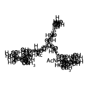 CC(=O)NC1C(OCCCNC(=O)COc2cc(C(=O)NCCNC(=O)CCCC[C@@H]3SC[C@@H]4NC(=O)N[C@@H]43)cc(-c3ccc(OCC(=O)NCCCOC4OC(CO)C(OC(OC(CO)[C@@H](C)O)[C@@H](O)COC(OC(CO)[C@@H](C)O)[C@@H](O)CO)C(O)C4NC(C)=O)cc3)c2)OC(CO)C(OC(OC(CO)[C@@H](C)O)[C@@H](O)COC2OC(CO)C(O)C(O)C2O)C1O